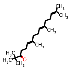 CC(C)=CCC/C(C)=C/CC/C(C)=C/CCC(=O)C(C)(C)C